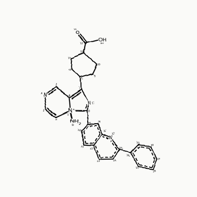 N[N+]12C=CN=CC1=C(C1CCC(C(=O)O)CC1)N=C2c1ccc2ccc(-c3ccccc3)nc2c1